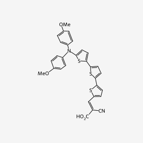 COc1ccc(N(c2ccc(OC)cc2)c2ccc(-c3ccc(-c4ccc(/C=C(\C#N)C(=O)O)s4)s3)s2)cc1